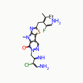 CC/C(C)=C(Cc1nc2c(s1)c1cnn(CC(=N)/C(Cl)=C\N)c(=O)c1n2C)\C(F)=C/N